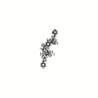 C[C@H](CC(=O)N[C@@H](CC(=O)OCc1ccccc1)C(N)=O)NC(=O)c1ccc(C(=N)NC(=O)OCc2ccccc2)cc1